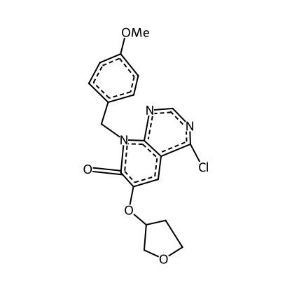 COc1ccc(Cn2c(=O)c(OC3CCOC3)cc3c(Cl)ncnc32)cc1